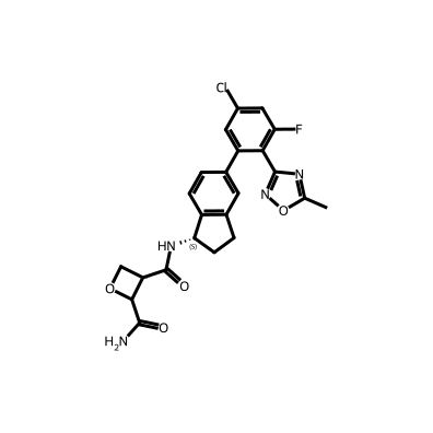 Cc1nc(-c2c(F)cc(Cl)cc2-c2ccc3c(c2)CC[C@@H]3NC(=O)[C]2COC2C(N)=O)no1